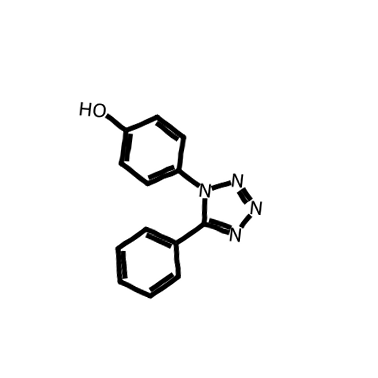 Oc1ccc(-n2nnnc2-c2ccccc2)cc1